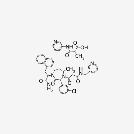 CC(C(=O)O)C(=O)Nc1cccnc1.CC1CCN(C(Cc2cccc3ccccc23)C(N)=O)C(=O)C(c2cccc(Cl)c2)N1C(=O)CC(=O)NCc1cccnc1